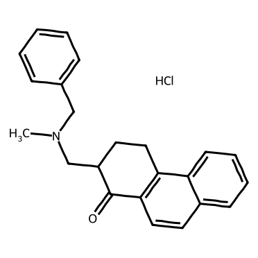 CN(Cc1ccccc1)CC1CCc2c(ccc3ccccc23)C1=O.Cl